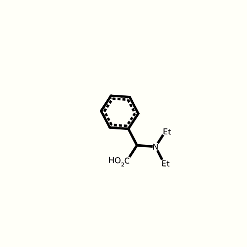 CCN(CC)C(C(=O)O)c1ccccc1